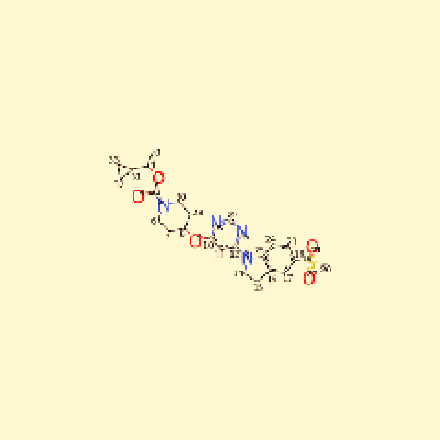 CC(OC(=O)N1CCC(Oc2cc(N3CCc4cc(S(C)(=O)=O)ccc43)ncn2)CC1)C1CC1